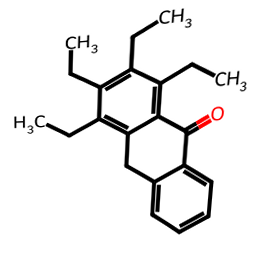 CCc1c(CC)c(CC)c2c(c1CC)Cc1ccccc1C2=O